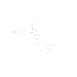 CCC(C(=O)Oc1ccc(S(=O)(=O)NC(CC(=O)O)C(=O)O)cc1)c1ccc(N2CCCC2)cc1